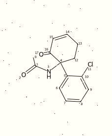 CC(=O)NC1(c2ccccc2Cl)CCC=CC1=O